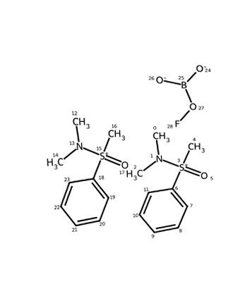 CN(C)[S+](C)(=O)c1ccccc1.CN(C)[S+](C)(=O)c1ccccc1.[O-]B([O-])OF